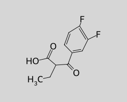 CCC(C(=O)O)C(=O)c1ccc(F)c(F)c1